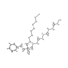 CCCCCCCCCOP(=O)(OCCOCCOCCOCC)OOc1ccccc1